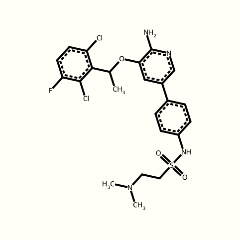 CC(Oc1cc(-c2ccc(NS(=O)(=O)CCN(C)C)cc2)cnc1N)c1c(Cl)ccc(F)c1Cl